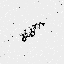 Cl.O=C(c1cc(Cc2n[nH]c(=O)c3ccccc23)ccc1F)N1CC(CNCC2CC2)C1